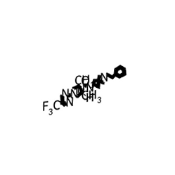 C[C@@H]1CN(c2ncc(C(F)(F)F)cn2)C[C@H](C)N1C(=O)NC1CC2(C1)CN(CCc1ccccc1)C2